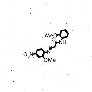 COc1cc([N+](=O)[O-])ccc1N=NCC(=O)Nc1ccccc1OC